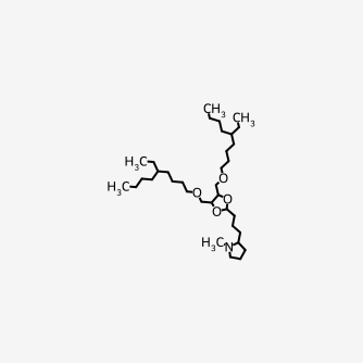 CCCCC(CC)CCCCOCC1OC(CCCC2CCCN2C)OC1COCCCCC(CC)CCCC